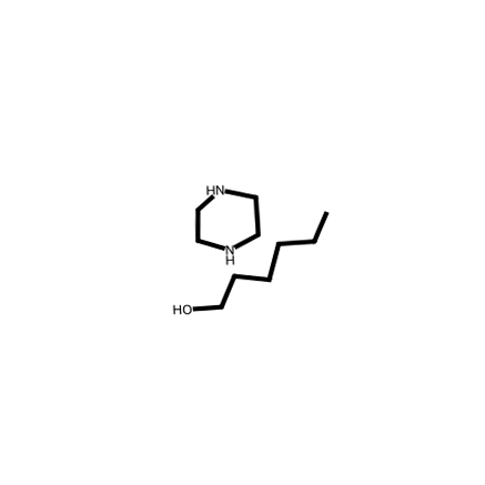 C1CNCCN1.CCCCCCO